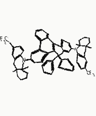 CC12CCCCC1(C)N(c1ccc3c(c1)C(c1ccccc1)(c1ccccc1)c1c-3c3ccccc3c3cc(N4c5ccc(C(F)(F)F)cc5CC5(C)CCCCC45C)ccc13)c1ccc(C(F)(F)F)cc1C2